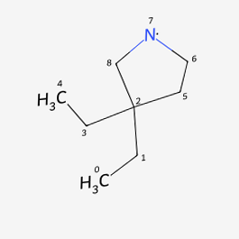 CCC1(CC)CC[N]C1